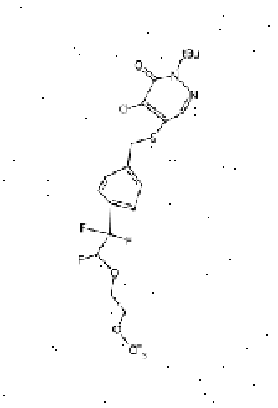 CC(C)(C)n1ncc(SCc2ccc(C(F)(F)C(F)OCCOC(F)(F)F)cc2)c(Cl)c1=O